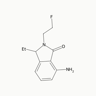 CCC1c2cccc(N)c2C(=O)N1CCF